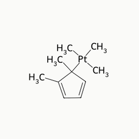 CC1=CC=C[C]1(C)[Pt]([CH3])([CH3])[CH3]